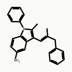 C/C(=C\c1c(C)n(-c2ccccc2)c2ccc(N)cc12)Cc1ccccc1